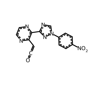 O=C=Cc1nccnc1-c1ncn(-c2ccc([N+](=O)[O-])cc2)n1